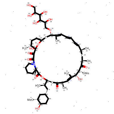 CO[C@@H]1C[C@H](C[C@@H](C)[C@@H]2CC(=O)[C@H](C)/C=C(\C)[C@@H](O)[C@@H](OC)C(=O)[C@H](C)C[C@H](C)/C=C/C=C/C=C(\C)[C@@H](OCC(O)C(O)C(O)C(O)CO)C[C@@H]3CC[C@@H](C)[C@@](O)(O3)C(=O)C(=O)N3CCCC[C@H]3C(=O)O2)CC[C@H]1O